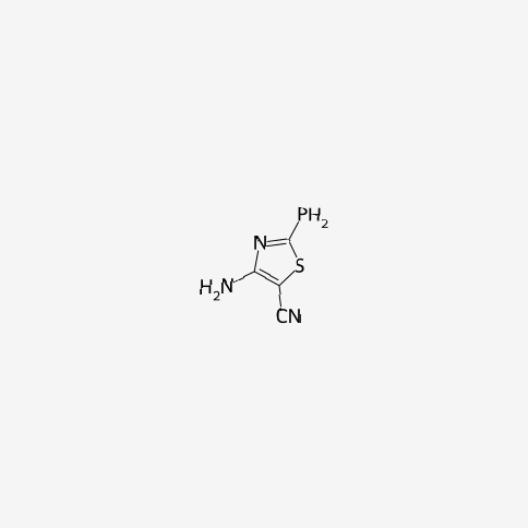 N#Cc1sc(P)nc1N